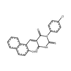 COc1ccc2ccccc2c1C=C1C(=O)NC(=S)N(c2ccc(Cl)cc2)C1=O